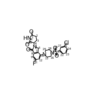 O=C1CCC(N2Cc3c(cc(F)cc3N3CCN(S(=O)(=O)c4cccc(Cl)c4)CC3)C2=O)C(=O)N1